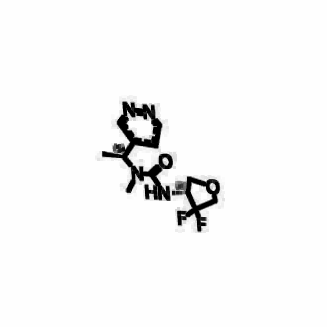 C[C@@H](c1ccnnc1)N(C)C(=O)N[C@@H]1COCC1(F)F